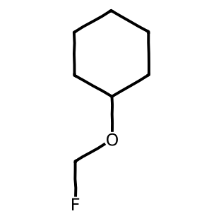 FCOC1CCCCC1